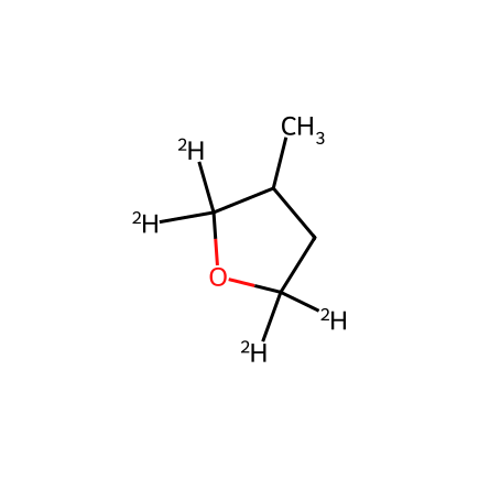 [2H]C1([2H])CC(C)C([2H])([2H])O1